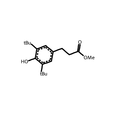 [CH2]OC(=O)CCc1cc(C(C)(C)C)c(O)c(C(C)(C)C)c1